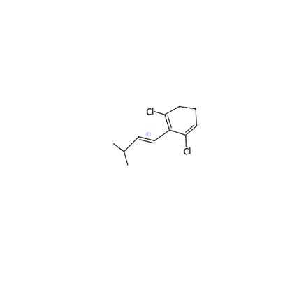 CC(C)/C=C/C1=C(Cl)CCC=C1Cl